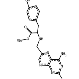 CC(C)(C)OC(=O)C(Cc1ccc(O)cc1)NCc1cnc2nc(N)nc(N)c2n1